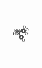 COc1[c]cc(-c2[nH]nnc2-c2cc(OC)c(OC)c(OC)c2)cc1.[NaH]